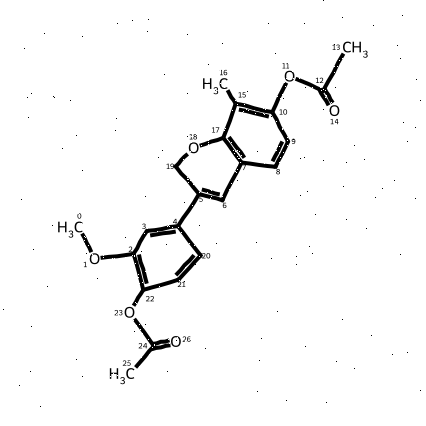 COc1cc(C2=Cc3ccc(OC(C)=O)c(C)c3OC2)ccc1OC(C)=O